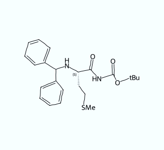 CSCC[C@H](NC(c1ccccc1)c1ccccc1)C(=O)NC(=O)OC(C)(C)C